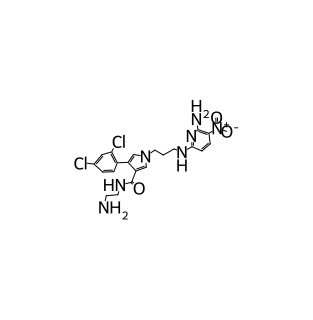 NCCNC(=O)c1cn(CCCNc2ccc([N+](=O)[O-])c(N)n2)cc1-c1ccc(Cl)cc1Cl